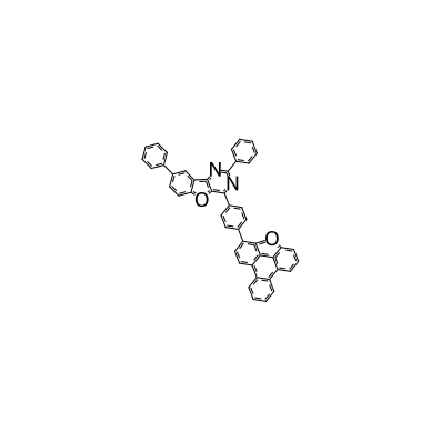 c1ccc(-c2ccc3oc4c(-c5ccc(-c6ccc7c8ccccc8c8cccc9oc6c7c98)cc5)nc(-c5ccccc5)nc4c3c2)cc1